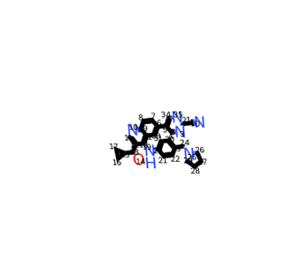 N#Cc1ncc(-c2ccc3ncc(C(=O)C4CC4)c(Nc4ccc(CN5CCCC5)cc4)c3c2)cn1